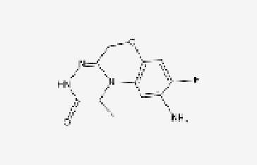 CC1C(=O)NN=C2COc3cc(F)c(N)cc3N21